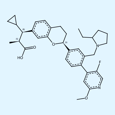 CCC1CCCN1Cc1cc([C@@H]2CCc3ccc([C@H](C4CC4)[C@H](C)C(=O)O)cc3O2)ccc1-c1cc(OC)ncc1F